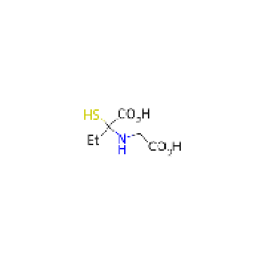 CCC(S)(NCC(=O)O)C(=O)O